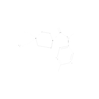 COC1(C)CCC2(CC1)C(=O)N(C)c1cnc(Cl)nc12